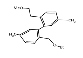 CCOCc1ccc(C)cc1-c1cc(C)ccc1CCOC